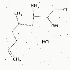 C=CCCC(C)CC(N)C(O)CCl.Cl